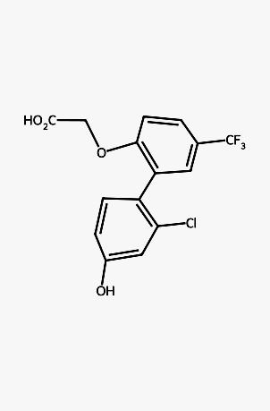 O=C(O)COc1ccc(C(F)(F)F)cc1-c1ccc(O)cc1Cl